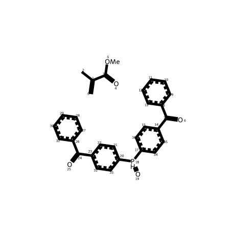 C=C(C)C(=O)OC.O=C(c1ccccc1)c1ccc([PH](=O)c2ccc(C(=O)c3ccccc3)cc2)cc1